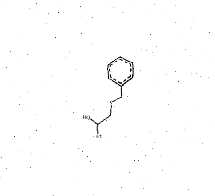 CCC(O)CSCc1ccccc1